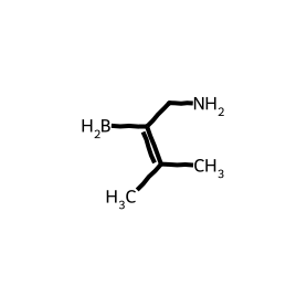 BC(CN)=C(C)C